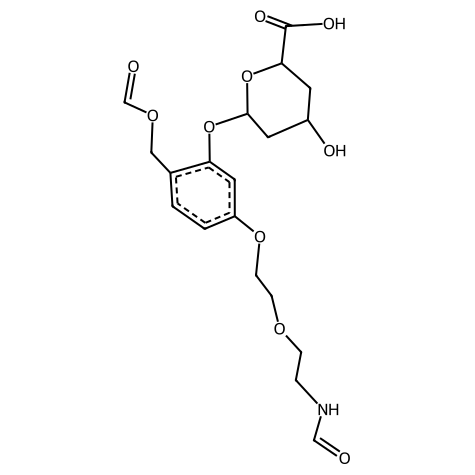 O=CNCCOCCOc1ccc(COC=O)c(OC2CC(O)CC(C(=O)O)O2)c1